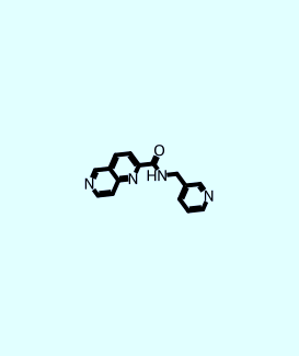 O=C(NCc1cccnc1)c1ccc2cnccc2n1